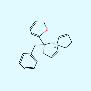 C1=CCOC(C2(Cc3ccccc3)CC=C[C@]3(C=CCC3)C2)=C1